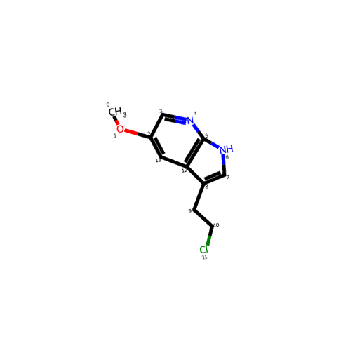 COc1cnc2[nH]cc(CCCl)c2c1